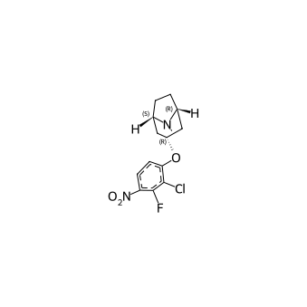 CN1[C@@H]2CC[C@H]1C[C@@H](Oc1ccc([N+](=O)[O-])c(F)c1Cl)C2